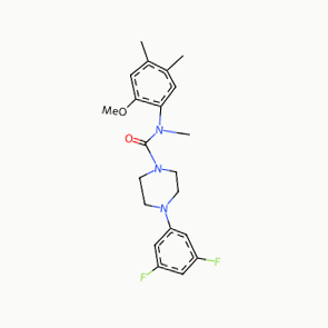 COc1cc(C)c(C)cc1N(C)C(=O)N1CCN(c2cc(F)cc(F)c2)CC1